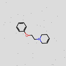 C1=CCN(CCOc2ccccc2)CC1